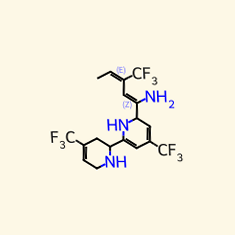 C/C=C(\C=C(/N)C1C=C(C(F)(F)F)C=C(C2CC(C(F)(F)F)=CCN2)N1)C(F)(F)F